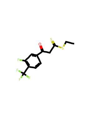 CCSC(=S)CC(=O)c1ccc(C(F)(F)F)c(F)c1